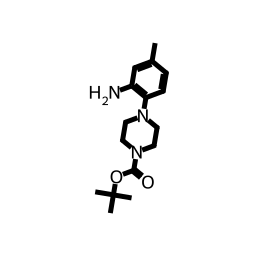 Cc1ccc(N2CCN(C(=O)OC(C)(C)C)CC2)c(N)c1